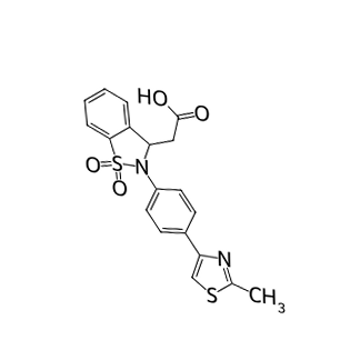 Cc1nc(-c2ccc(N3C(CC(=O)O)c4ccccc4S3(=O)=O)cc2)cs1